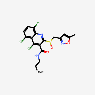 COCCNC(=O)c1c([S+]([O-])Cc2cc(C)on2)nc2c(Cl)ccc(Cl)c2c1Cl